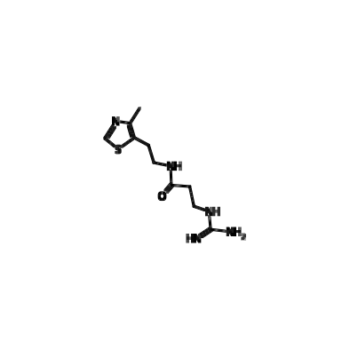 Cc1ncsc1CCNC(=O)CCNC(=N)N